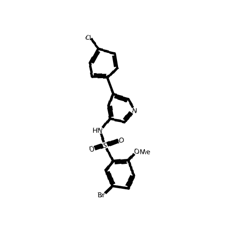 COc1ccc(Br)cc1S(=O)(=O)Nc1cncc(-c2ccc(Cl)cc2)c1